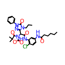 CCCCCC(=O)Nc1ccc(Cl)c(NC(=O)C(c2nn(-c3ccccc3)c(=O)n2CCC)N2C(=O)OC(C)(C)C2=O)c1